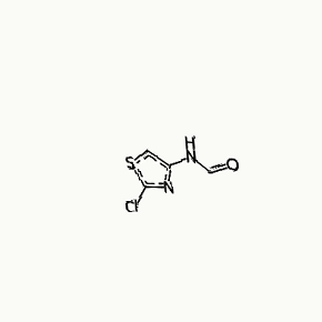 O=CNc1csc(Cl)n1